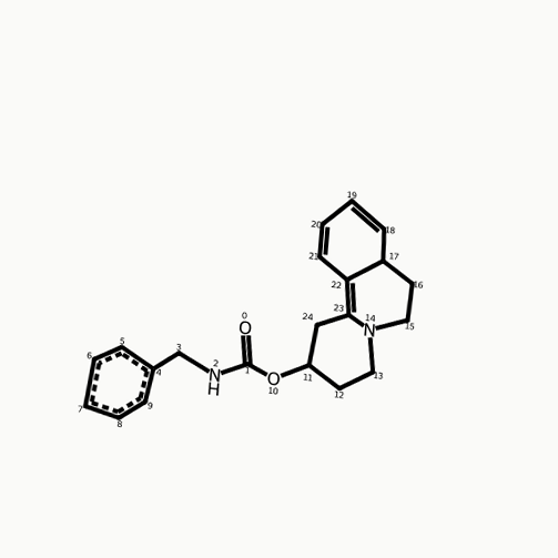 O=C(NCc1ccccc1)OC1CCN2CCC3C=CC=CC3=C2C1